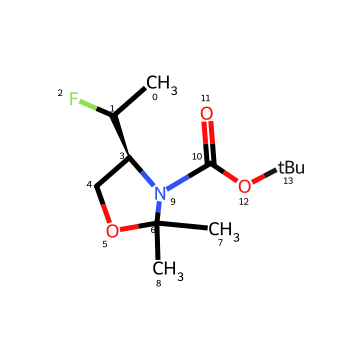 CC(F)[C@@H]1COC(C)(C)N1C(=O)OC(C)(C)C